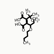 CCCCOC(CC)C(C(=O)O)=C(C(=O)O)C(C)(C)C